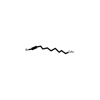 CC(=O)OCCCCCCCCC#CBr